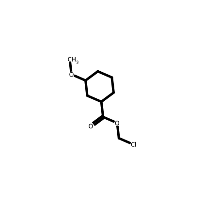 COC1CCCC(C(=O)OCCl)C1